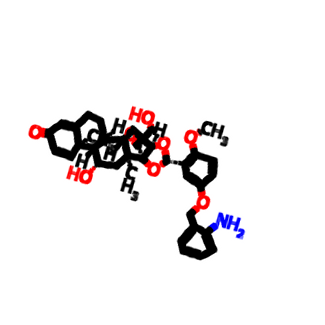 COc1ccc(OCc2ccccc2N)cc1[C@H]1O[C@@H]2C[C@H]3[C@@H]4CCC5=CC(=O)C=C[C@]5(C)[C@H]4[C@@H](O)C[C@]3(C)[C@]2(C(=O)CO)O1